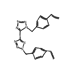 C=Cc1ccc(Cn2nnc(-c3nnnn3Cc3ccc(C=C)cc3)n2)cc1